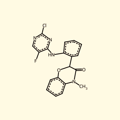 CN1C(=O)C(c2ccccc2Nc2nc(Cl)ncc2F)Oc2ccccc21